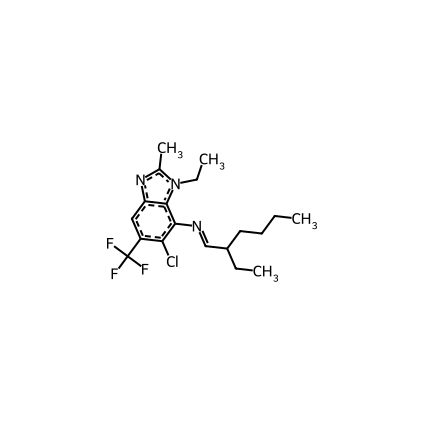 CCCCC(C=Nc1c(Cl)c(C(F)(F)F)cc2nc(C)n(CC)c12)CC